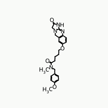 COc1ccc(CN(C)C(=O)CCCCOc2ccc3c(c2)CN2CC(=O)NC2=N3)cc1